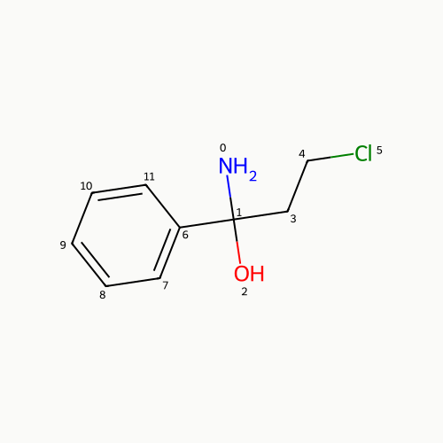 NC(O)(CCCl)c1ccccc1